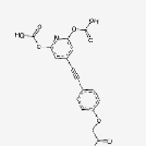 O=C(O)COc1ccc(C#Cc2cc(OC(=O)O)nc(OC(=O)O)c2)cc1